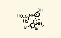 CC(=O)N[C@@H](CS)C(=O)O.Nc1c(Br)cc(Br)cc1CN[C@H]1CC[C@H](O)CC1